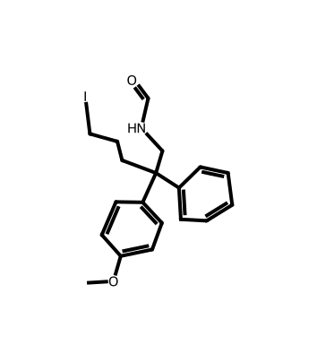 COc1ccc(C(CCCI)(CNC=O)c2ccccc2)cc1